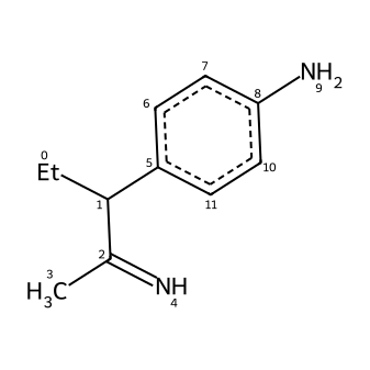 CCC(C(C)=N)c1ccc(N)cc1